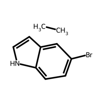 Brc1ccc2[nH]ccc2c1.CC